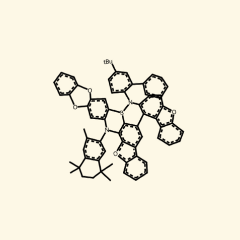 Cc1cc2c(cc1N1c3cc4c(cc3B3c5c(cc6c(oc7ccccc76)c51)-c1c(ccc5oc6ccccc6c15)N3c1ccc(C(C)(C)C)cc1-c1ccccc1)Oc1ccccc1O4)C(C)(C)CCC2(C)C